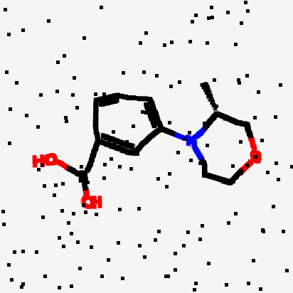 C[C@@H]1COCCN1c1cccc(B(O)O)c1